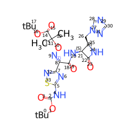 CC(C)(C)OC(=O)Nc1nc(/C(=N/OC(C)(C)C(=O)OC(C)(C)C)C(=O)N[C@@H]2C(=O)N[C@@H]2Cn2cncn2)ns1